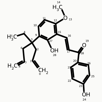 C=CCC(CC)(CC=C)c1ccc(OC)c(C=CC(=O)c2ccc(O)cc2)c1O